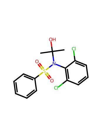 CC(C)(O)N(c1c(Cl)cccc1Cl)S(=O)(=O)c1ccccc1